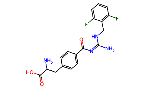 NC(=NC(=O)c1ccc(CC(N)C(=O)O)cc1)NCc1c(F)cccc1F